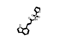 O=C(/C=C/c1cccc2cc[nH]c12)NS(=O)(=O)c1cccs1